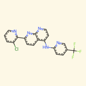 FC(F)(F)c1ccc(Nc2ccnc3nc(-c4ncccc4Cl)ccc23)nc1